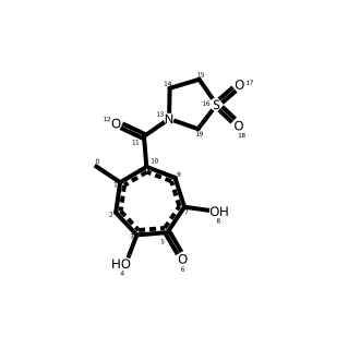 Cc1cc(O)c(=O)c(O)cc1C(=O)N1CCS(=O)(=O)C1